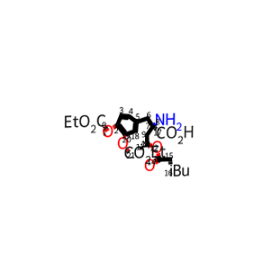 CCOC(=O)Oc1ccc(CC(N)(C[C@H](C)OC(=O)CC(C)CC)C(=O)O)cc1OC(=O)OCC